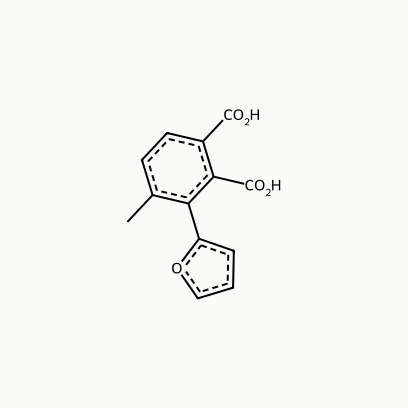 Cc1ccc(C(=O)O)c(C(=O)O)c1-c1ccco1